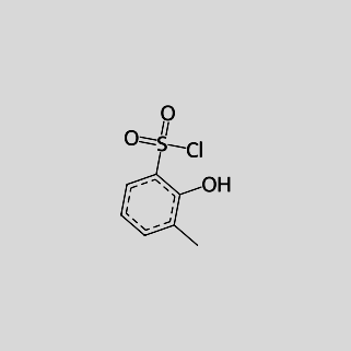 Cc1cccc(S(=O)(=O)Cl)c1O